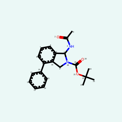 CC(=O)NC1c2cccc(-c3ccccc3)c2CN1C(=O)OC(C)(C)C